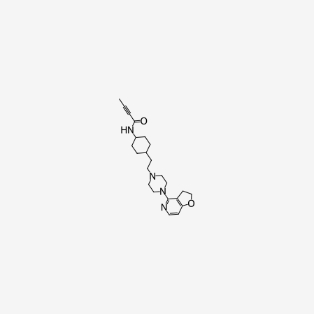 CC#CC(=O)NC1CCC(CCN2CCN(c3nccc4c3CCO4)CC2)CC1